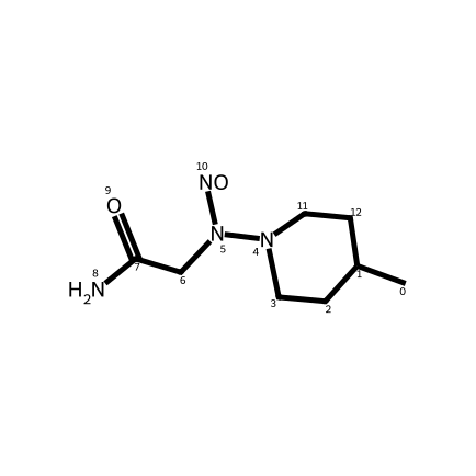 CC1CCN(N(CC(N)=O)N=O)CC1